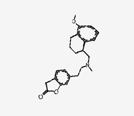 COc1cccc2c1CCCC2CN(C)CCc1ccc2c(c1)OC(=O)C2